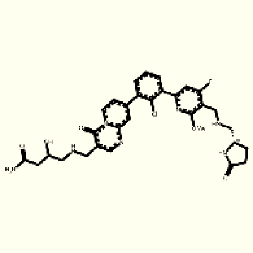 COc1nc(-c2cccc(-c3ccn4c(=O)c(CNCC(O)CC(N)=O)cnc4c3)c2Cl)cc(F)c1CNC[C@@H]1CCC(=O)N1